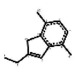 CCC1=Cc2c(C)ccc(C)c2[CH]1